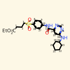 CCOC(=O)CCCS(=O)(=O)c1ccc(NC(=O)c2cc(NC3CCCCC3)ncn2)cc1